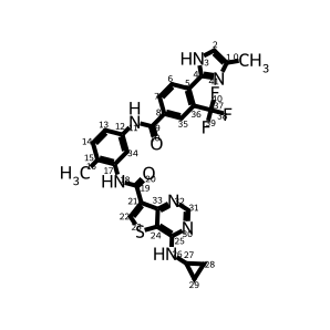 Cc1c[nH]c(-c2ccc(C(=O)Nc3ccc(C)c(NC(=O)c4csc5c(NC6CC6)ncnc45)c3)cc2C(F)(F)F)n1